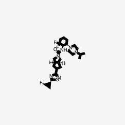 CC(C)N1CCN([C@H]2CCCC(F)(F)[C@@H]2NC(=O)N2C[C@H]3CC(c4noc([C@@H]5C[C@@H]5F)n4)C[C@H]3C2)CC1